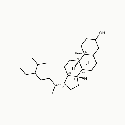 CCC(CCC(C)[C@H]1CC[C@H]2[C@@H]3CCC4CC(O)CC[C@]4(C)[C@H]3CC[C@]12C)C(C)C